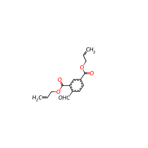 C=CCOC(=O)c1ccc(C=O)c(C(=O)OCC=C)c1